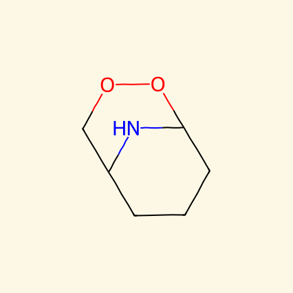 C1CC2COOC(C1)N2